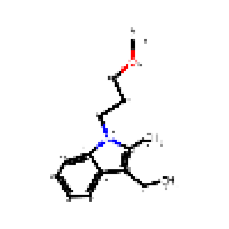 CCc1c(C)n(CCCOC)c2ccccc12